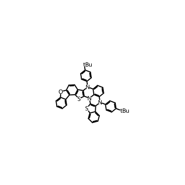 CC(C)(C)c1ccc(N2c3cccc4c3N(c3sc5ccccc5c32)c2sc3c(ccc5oc6ccccc6c53)c2N4c2ccc(C(C)(C)C)cc2)cc1